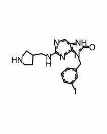 O=c1[nH]c2cnc(NCC3CCNC3)nc2n1Cc1cccc(I)c1